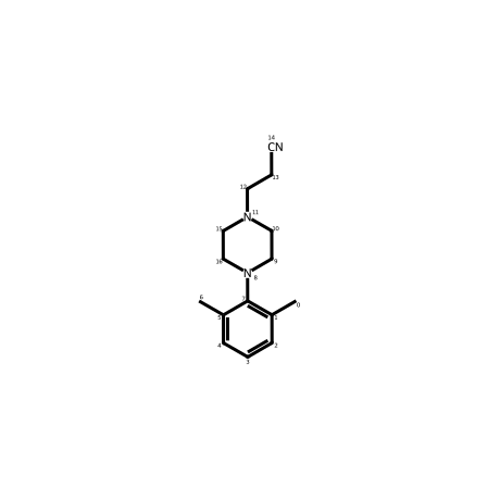 Cc1cccc(C)c1N1CCN(CCC#N)CC1